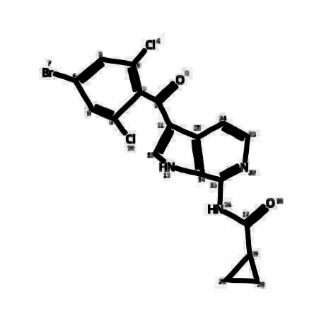 O=C(c1c(Cl)cc(Br)cc1Cl)c1c[nH]c2c(NC(=O)C3CC3)nccc12